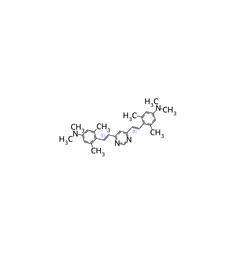 Cc1cc(N(C)C)cc(C)c1/C=C/c1cc(/C=C/c2c(C)cc(N(C)C)cc2C)ncn1